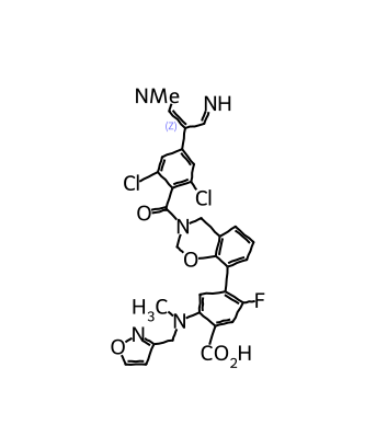 CN/C=C(\C=N)c1cc(Cl)c(C(=O)N2COc3c(cccc3-c3cc(N(C)Cc4ccon4)c(C(=O)O)cc3F)C2)c(Cl)c1